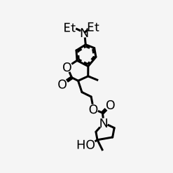 CCN(CC)c1ccc2c(c1)OC(=O)C(CCOC(=O)N1CCC(C)(O)C1)C2C